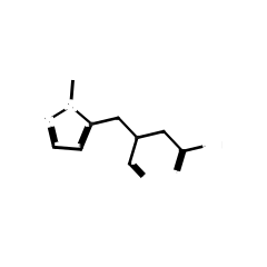 Cn1nccc1CC(C=O)CC(=O)O